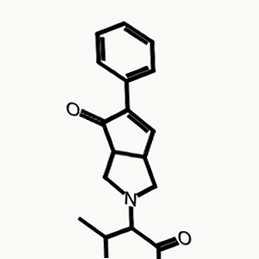 CC(C)C(C(=O)O)N1CC2C=C(c3ccccc3)C(=O)C2C1